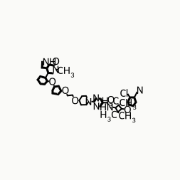 Cn1cc(-c2ccccc2Oc2cccc(OCCOC3CCN(c4ncc(C(=O)NC5C(C)(C)C(Oc6ccc(C#N)c(Cl)c6)C5(C)C)cn4)CC3)c2)c2cc[nH]c2c1=O